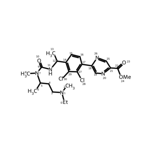 CCN(C)CCC(C)N(C)C(=O)NC(C)c1ccc(-c2cnc(C(=O)OC)cn2)c(Cl)c1Cl